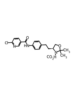 CC1(C)OC[C@H](CCc2ccc(NC(=O)c3ccc(Cl)nc3)cc2)N1C(=O)O